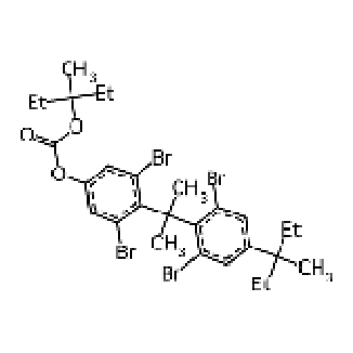 CCC(C)(CC)OC(=O)Oc1cc(Br)c(C(C)(C)c2c(Br)cc(C(C)(CC)CC)cc2Br)c(Br)c1